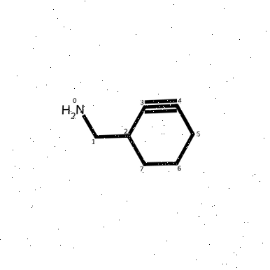 NCC1C#CCCC1